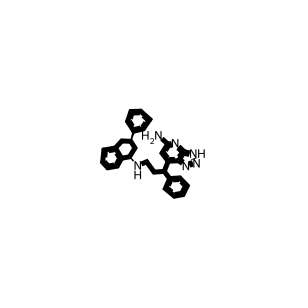 Nc1cc(C(CCN[C@H]2C[C@H](c3ccccc3)Cc3ccccc32)c2ccccc2)c2nn[nH]c2n1